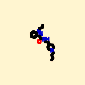 CCCCN1CCC(=CCNC(=O)c2nn(CCC)c3ccccc23)CC1